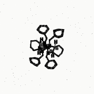 [Br][Ni]12([Br])([N](Cc3ccccc3)[C@H]3CCCC[C@@H]3[N]1Cc1ccccc1)[N](Cc1ccccc1)[C@H]1CCCC[C@@H]1[N]2Cc1ccccc1